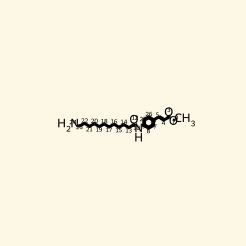 COC(=O)C=Cc1ccc(NC(=O)CCCCCCCCCCCN)cc1